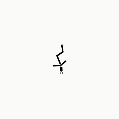 [CH2]CCP(C)(C)=O